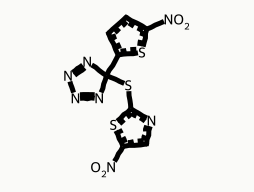 O=[N+]([O-])c1ccc(C2(Sc3ncc([N+](=O)[O-])s3)N=NN=N2)s1